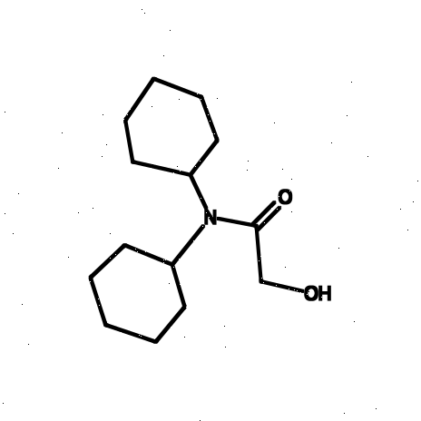 O=C(CO)N(C1CCCCC1)C1CCCCC1